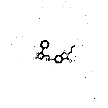 CCCN1Cc2cc(NCc3c[nH]nc3-c3ccccc3)ccc2C1=O